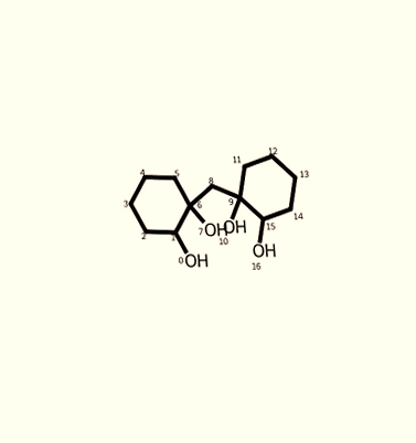 O[C]1CCCCC1(O)CC1(O)CCCC[C]1O